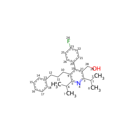 CC(C)c1nc(C(C)C)c(CCCc2ccccc2)c(-c2ccc(F)cc2)c1CO